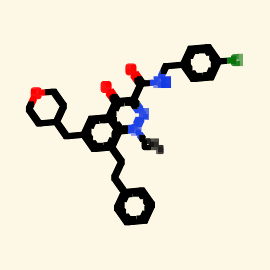 Cn1nc(C(=O)NCc2ccc(Cl)cc2)c(=O)c2cc(CC3CCOCC3)cc(CCc3ccccc3)c21